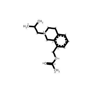 C[C](C)CN1CCc2cccc(COC(C)=O)c2C1